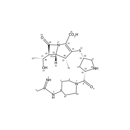 CC(=N)NC1CCN(C(=O)[C@@H]2C[C@H](SC3=C(C(=O)O)N4C(=O)[C@H]([C@@H](C)O)[C@H]4[C@H]3C)CN2)CC1